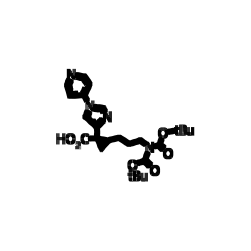 CC(C)(C)OC(=O)N(CCCC1CC1(C(=O)O)c1cn(-c2ccncc2)cn1)C(=O)OC(C)(C)C